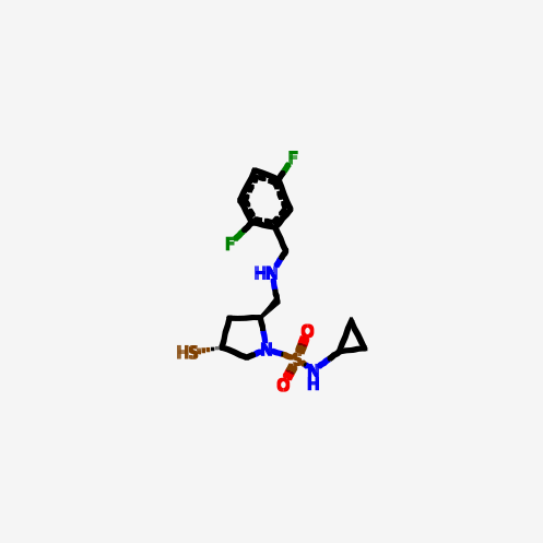 O=S(=O)(NC1CC1)N1C[C@H](S)C[C@H]1CNCc1cc(F)ccc1F